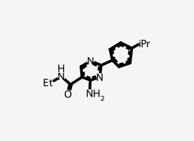 CCNC(=O)c1cnc(-c2ccc(C(C)C)cc2)nc1N